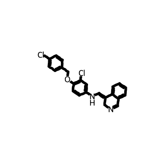 Clc1ccc(COc2ccc(NC=C3CN=Cc4ccccc43)cc2Cl)cc1